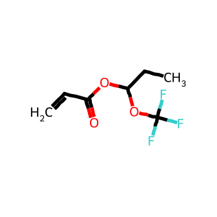 C=CC(=O)OC(CC)OC(F)(F)F